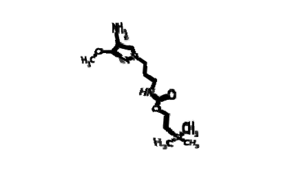 COc1nn(CCCNC(=O)OCC[Si](C)(C)C)cc1N